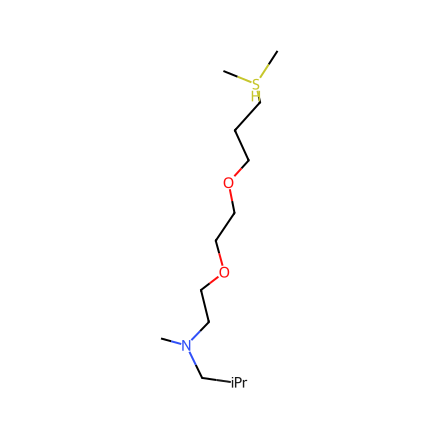 CC(C)CN(C)CCOCCOCCC[SH](C)C